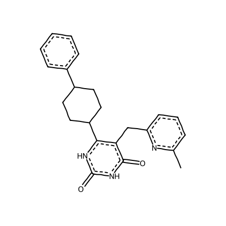 Cc1cccc(Cc2c(C3CCC(c4ccccc4)CC3)[nH]c(=O)[nH]c2=O)n1